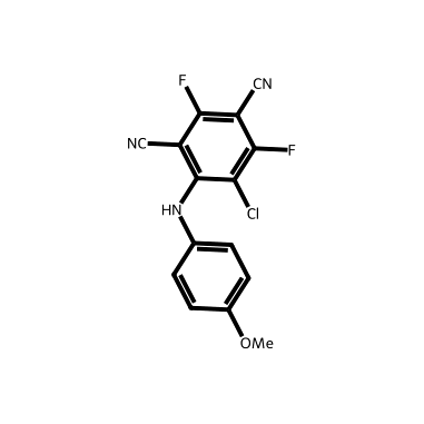 COc1ccc(Nc2c(Cl)c(F)c(C#N)c(F)c2C#N)cc1